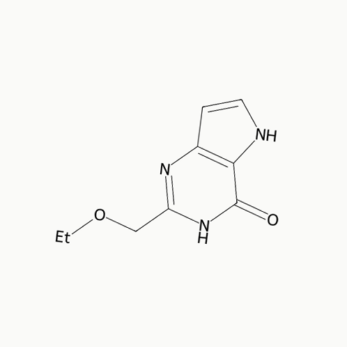 CCOCc1nc2cc[nH]c2c(=O)[nH]1